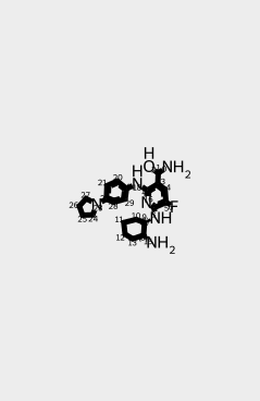 NC(O)c1cc(F)c(N[C@@H]2CCCC[C@@H]2N)nc1Nc1ccc(N2CCCC2)cc1